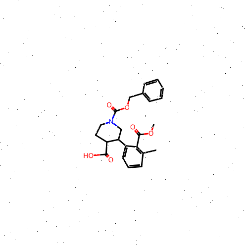 COC(=O)c1c(C)cccc1C1CN(C(=O)OCc2ccccc2)CCC1C(=O)O